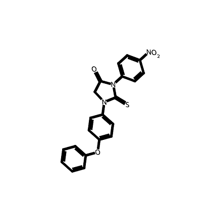 O=C1CN(c2ccc(Oc3ccccc3)cc2)C(=S)N1c1ccc([N+](=O)[O-])cc1